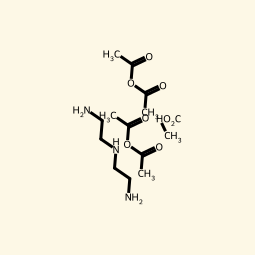 CC(=O)O.CC(=O)OC(C)=O.CC(=O)OC(C)=O.NCCNCCN